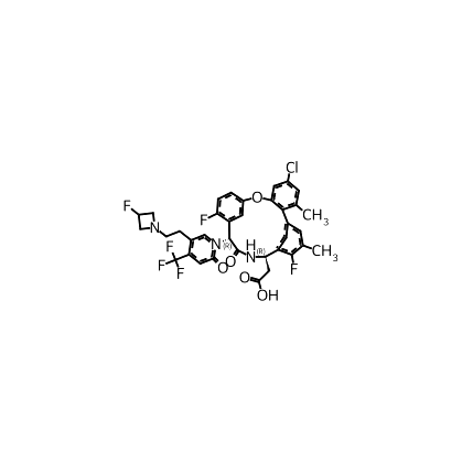 Cc1cc2cc(c1F)[C@@H](CC(=O)O)NC(=O)[C@H](n1cc(CCN3CC(F)C3)c(C(F)(F)F)cc1=O)c1cc(ccc1F)Oc1cc(Cl)cc(C)c1-2